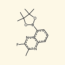 Cc1nc2cccc(B3OC(C)(C)C(C)(C)O3)c2nc1F